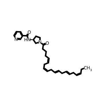 CC/C=C\CC=CCC=CC/C=C\C/C=C\CCCC(=O)N1CC[C@H](NC(=O)c2cccnc2)C1